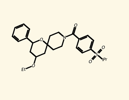 CCOC1CC(c2ccccc2)OC2(CCN(C(=O)c3ccc(S(=O)(=O)C(C)C)cc3)CC2)C1